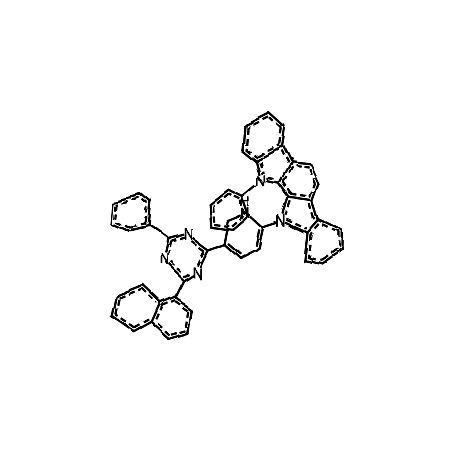 C1=C(c2nc(-c3ccccc3)nc(-c3cccc4ccccc34)n2)CNC(n2c3ccccc3c3ccc4c5ccccc5n(-c5ccccc5)c4c32)=C1